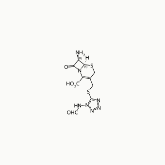 N[C@@H]1C(=O)N2C(C(=O)O)=C(CSc3nnnn3NC=O)CS[C@H]12